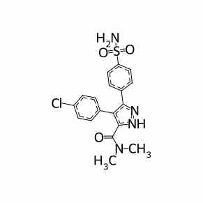 CN(C)C(=O)c1[nH]nc(-c2ccc(S(N)(=O)=O)cc2)c1-c1ccc(Cl)cc1